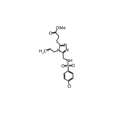 C=CCn1c(CNS(=O)(=O)c2ccc(Cl)cc2)nnc1SCC(=O)OC